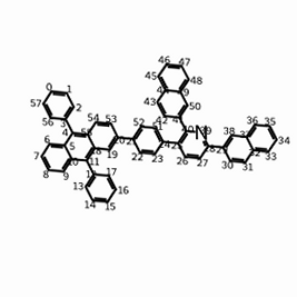 c1ccc(-c2c3ccccc3c(-c3ccccc3)c3cc(-c4ccc(-c5ccc(-c6ccc7ccccc7c6)nc5-c5ccc6ccccc6c5)cc4)ccc23)cc1